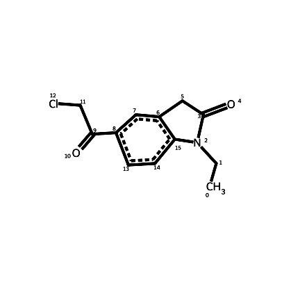 CCN1C(=O)Cc2cc(C(=O)CCl)ccc21